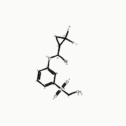 CCS(=O)(=O)c1cccc(OC(Br)C2CC2(F)F)c1